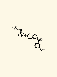 O=C(CN[C@H]1CC[C@@]2(CCN(C(=O)c3cncc(O)c3)C2)CC1)NCC(F)(F)F